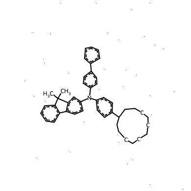 CC1(C)c2ccccc2-c2ccc(N(c3ccc(-c4ccccc4)cc3)c3ccc(C4CCCCCCCCCCC4)cc3)cc21